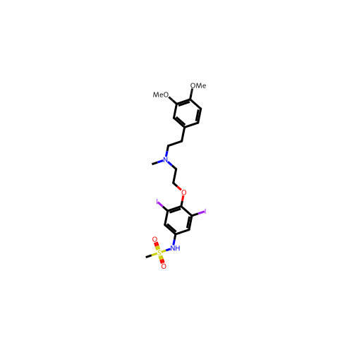 COc1ccc(CCN(C)CCOc2c(I)cc(NS(C)(=O)=O)cc2I)cc1OC